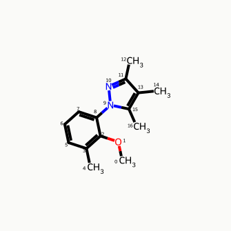 COc1c(C)cccc1-n1nc(C)c(C)c1C